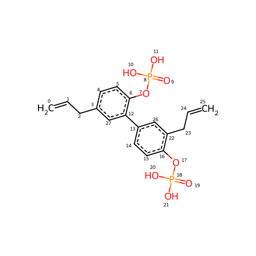 C=CCc1ccc(OP(=O)(O)O)c(-c2ccc(OP(=O)(O)O)c(CC=C)c2)c1